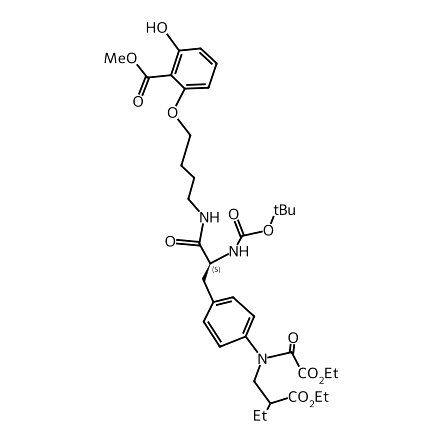 CCOC(=O)C(=O)N(CC(CC)C(=O)OCC)c1ccc(C[C@H](NC(=O)OC(C)(C)C)C(=O)NCCCCOc2cccc(O)c2C(=O)OC)cc1